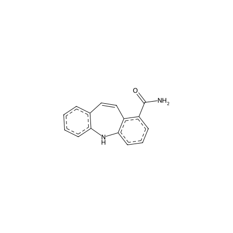 NC(=O)c1cccc2c1C=Cc1ccccc1N2